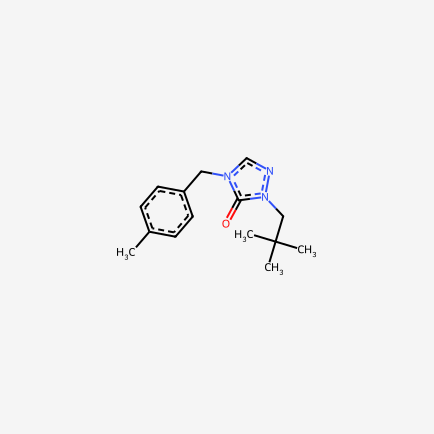 Cc1ccc(Cn2cnn(CC(C)(C)C)c2=O)cc1